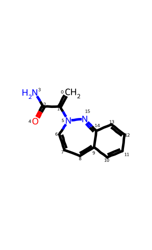 C=C(C(N)=O)N1C=CC=c2ccccc2=N1